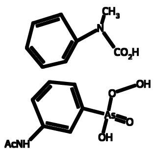 CC(=O)Nc1cccc([As](=O)(O)OO)c1.CN(C(=O)O)c1ccccc1